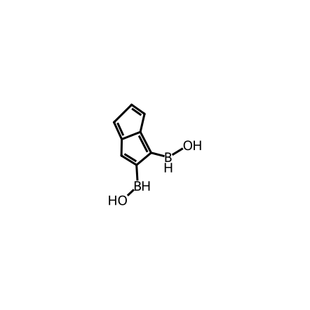 OBC1=CC2=CC=CC2=C1BO